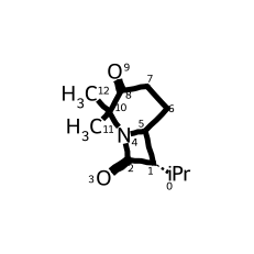 CC(C)[C@@H]1C(=O)N2C1CCC(=O)C2(C)C